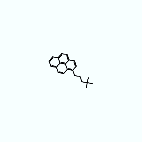 CC(C)(C)CCCc1ccc2ccc3cccc4ccc1c2c34